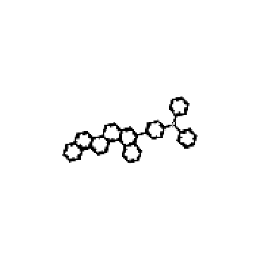 c1ccc(N(c2ccccc2)c2ccc(-c3cc4ccc5c6ccc7ccccc7c6ccc5c4c4ccccc34)cc2)cc1